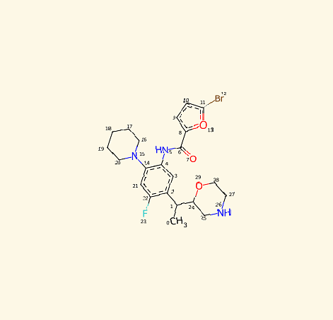 CC(c1cc(NC(=O)c2ccc(Br)o2)c(N2CCCCC2)cc1F)C1CNCCO1